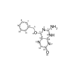 Nc1nc(OCc2ccccc2)c2ncc(=O)nc-2[nH]1